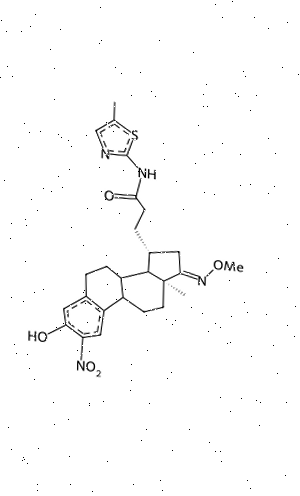 CON=C1C[C@@H](CCC(=O)Nc2ncc(C)s2)C2C3CCc4cc(O)c([N+](=O)[O-])cc4C3CC[C@]12C